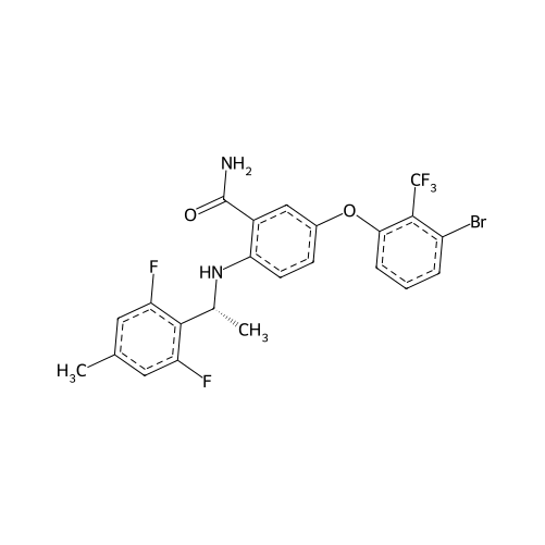 Cc1cc(F)c([C@@H](C)Nc2ccc(Oc3cccc(Br)c3C(F)(F)F)cc2C(N)=O)c(F)c1